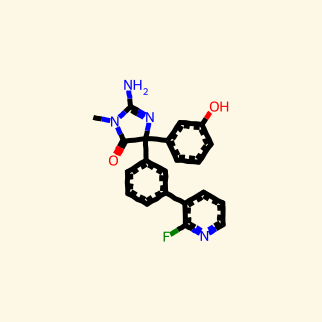 CN1C(=O)C(c2cccc(O)c2)(c2cccc(-c3cccnc3F)c2)N=C1N